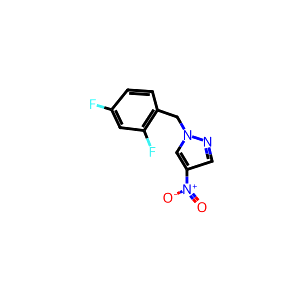 O=[N+]([O-])c1cnn(Cc2ccc(F)cc2F)c1